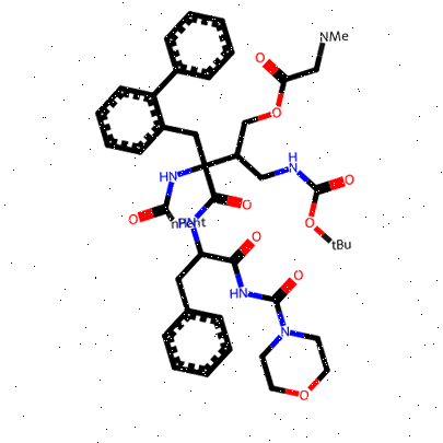 CCCCCC(=O)NC(Cc1ccccc1-c1ccccc1)(C(=O)NC(Cc1ccccc1)C(=O)NC(=O)N1CCOCC1)C(CNC(=O)OC(C)(C)C)COC(=O)CNC